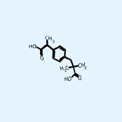 CC(C(=O)O)c1ccc(CC(C)(C)C(=O)O)cc1